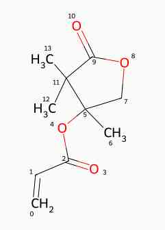 C=CC(=O)OC1(C)COC(=O)C1(C)C